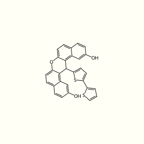 Oc1ccc2ccc3c(c2c1)C(c1ccc(-c2cccs2)s1)c1c(ccc2ccc(O)cc12)O3